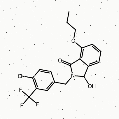 CCCOc1cccc2c1C(=O)N(Cc1ccc(Cl)c(C(F)(F)F)c1)C2O